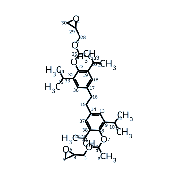 CC(OCC1CO1)Oc1c(C(C)C)cc(CCc2cc(C(C)C)c(OC(C)OCC3CO3)c(C(C)C)c2)cc1C(C)C